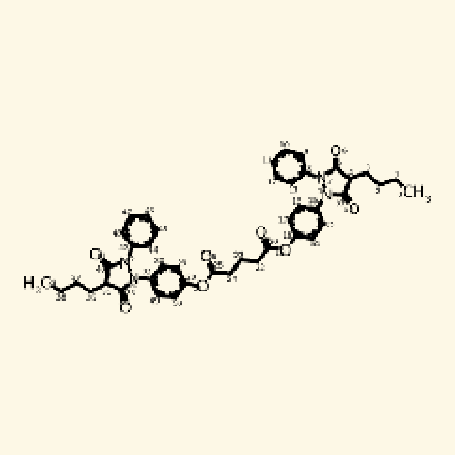 CCCCC1C(=O)N(c2ccccc2)N(c2ccc(OC(=O)CCCC(=O)Oc3ccc(N4C(=O)C(CCCC)C(=O)N4c4ccccc4)cc3)cc2)C1=O